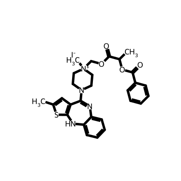 Cc1cc2c(s1)Nc1ccccc1N=C2N1CC[N+](C)(COC(=O)C(C)OC(=O)c2ccccc2)CC1.[I-]